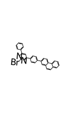 Brc1nc(-c2ccccc2)cc(-c2ccc(-c3ccc4c(ccc5ccccc54)c3)cc2)n1